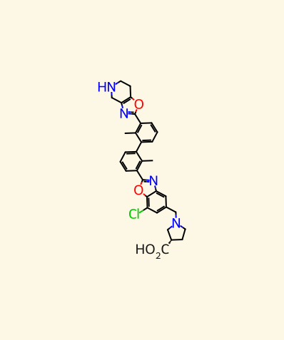 Cc1c(-c2nc3c(o2)CCNC3)cccc1-c1cccc(-c2nc3cc(CN4CC[C@@H](C(=O)O)C4)cc(Cl)c3o2)c1C